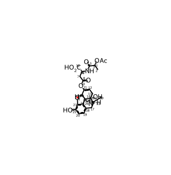 CC(=O)O[C@@H](C)C(=O)N[C@@H](CC(=O)OC1=CC[C@@]2(O)[C@H]3Cc4ccc(O)c5c4[C@@]2(CCN3C)[C@H]1O5)C(=O)O